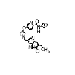 CCc1cc2ncc(CN3CC[C@@H](Oc4ccc(C(=O)NC5COC5)nc4)C3)cc2[nH]c1=O